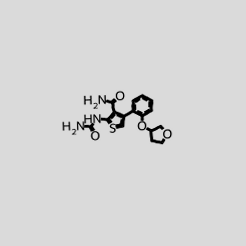 NC(=O)Nc1scc(-c2ccccc2OC2CCOC2)c1C(N)=O